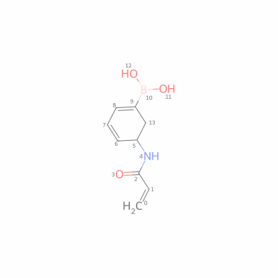 C=CC(=O)NC1C=CC=C(B(O)O)C1